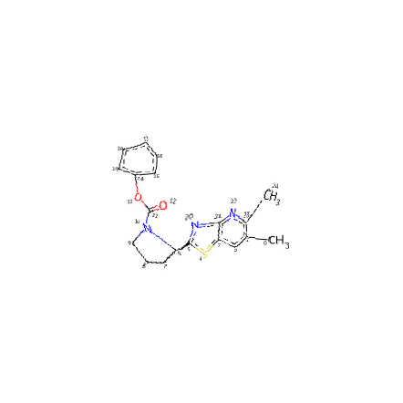 Cc1cc2sc([C@H]3CCCN3C(=O)Oc3ccccc3)nc2nc1C